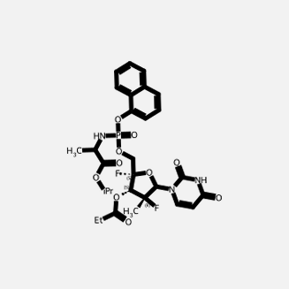 CCC(=O)O[C@@H]1[C@@](F)(COP(=O)(NC(C)C(=O)OC(C)C)Oc2cccc3ccccc23)OC(n2ccc(=O)[nH]c2=O)[C@]1(C)F